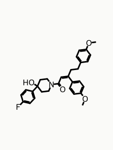 COc1ccc(CC/C(=C/C(=O)N2CCC(O)(c3ccc(F)cc3)CC2)c2ccc(OC)cc2)cc1